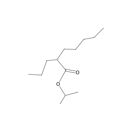 CCCCCC(CCC)C(=O)OC(C)C